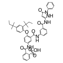 CCC(C)(C)c1ccc(Oc2ccc(NC(=O)c3ccccc3S(=O)(=O)O)cc2C(=O)Nc2cccc(C(=O)Nc3cc(=O)n(-c4ccccc4)[nH]3)c2)c(C(C)(C)CC)c1